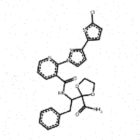 NC(=O)C1(C(Cc2ccccc2)NC(=O)c2cccnc2-n2ccc(-c3ccc(Cl)s3)n2)OCCO1